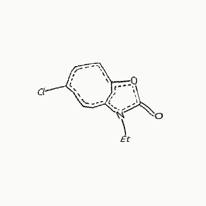 CCn1c(=O)oc2ccc(Cl)cc21